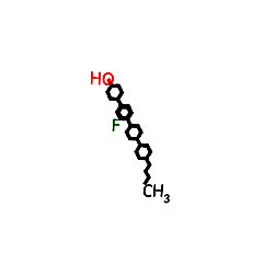 CCCCCC1CCC(C2CCC(c3ccc(C4CCC(O)CC4)cc3F)CC2)CC1